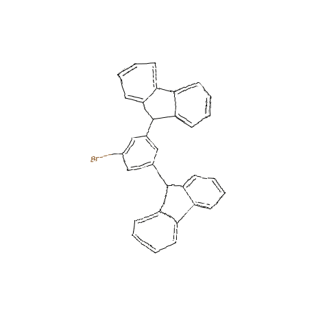 Brc1cc(C2c3ccccc3-c3ccccc32)cc(C2c3ccccc3-c3ccccc32)c1